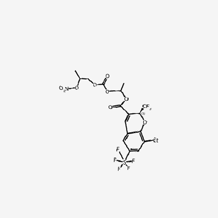 CCc1cc(S(F)(F)(F)(F)F)cc2c1O[C@H](C(F)(F)F)C(C(=O)OC(C)OC(=O)OCC(C)O[N+](=O)[O-])=C2